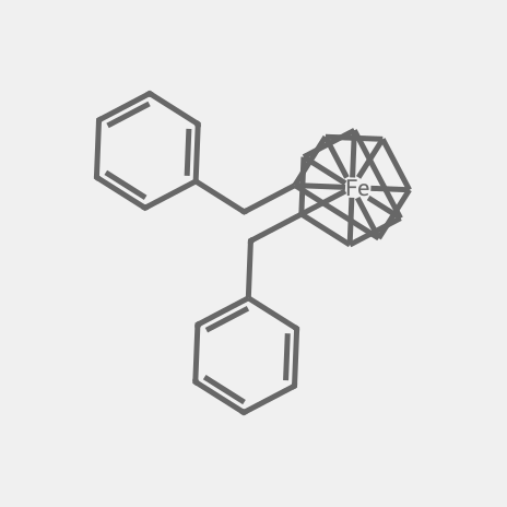 c1ccc(C[C]23[CH]4[CH]5[CH]6[CH]2[Fe]56432789[CH]3[CH]2[CH]7[C]8(Cc2ccccc2)[CH]39)cc1